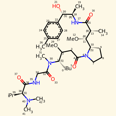 CCC(C)[C@@H](C(CC(=O)N1CCC[C@H]1[C@H](OC)[C@@H](C)C(=O)N[C@H](C)[C@@H](O)c1ccc(C)cc1)OC)N(C)C(=O)CNC(=O)[C@H](C(C)C)N(C)C